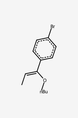 [CH2]CCCOC(=CC)c1ccc(Br)cc1